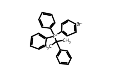 CC(C)(c1ccccc1)[P+](c1ccccc1)(c1ccccc1)c1ccccc1.[Br-]